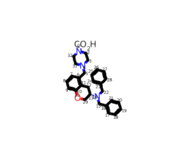 O=C(O)N1CCN(Cc2cccc3c2C[C@H](N(Cc2ccccc2)Cc2ccccc2)CO3)CC1